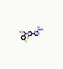 CC(C)Nc1nccc(-c2ccn(C(CO)c3cccc(Cl)c3)c(=O)c2)n1